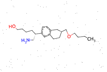 CCCCOCC1CCc2cc([C@H](CN)CCCCO)ccc2C1